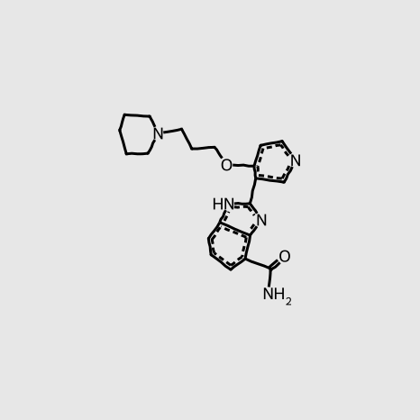 NC(=O)c1cccc2[nH]c(-c3cnccc3OCCCN3CCCCC3)nc12